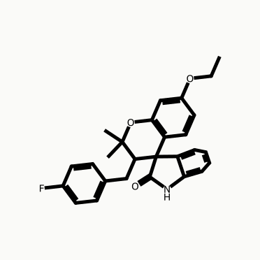 CCOc1ccc2c(c1)OC(C)(C)C(Cc1ccc(F)cc1)C21C(=O)Nc2ccccc21